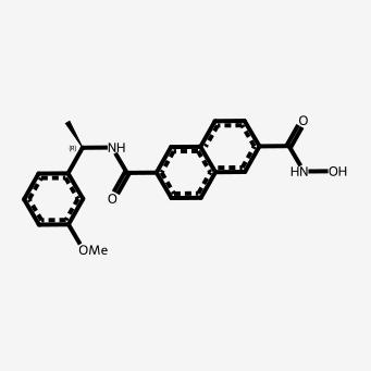 COc1cccc([C@@H](C)NC(=O)c2ccc3cc(C(=O)NO)ccc3c2)c1